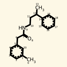 Cc1cccc(CC(=O)NCCC(C)c2ccccc2)c1